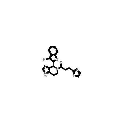 O=C(CCc1nccs1)N1CCc2[nH]cnc2[C@H]1c1oc2ccccc2c1Br